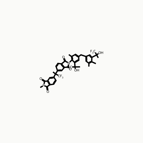 Cc1cc(Cc2cc(C)c(N3C(=O)c4ccc(C(C)(c5ccc6c(c5)C(=O)N(C)C6=O)C(F)(F)F)cc4C3=O)c(C(C)(O)C(F)(F)F)c2)cc(C(C)(O)C(F)(F)F)c1C